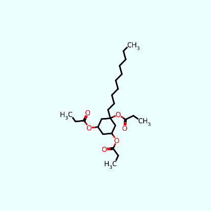 CCCCCCCCCCC1(OC(=O)CC)CC(OC(=O)CC)CC(OC(=O)CC)C1